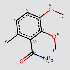 [CH2]c1ccc(OC)c(OC)c1C(N)=O